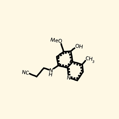 COc1cc(NCCC#N)c2nccc(C)c2c1O